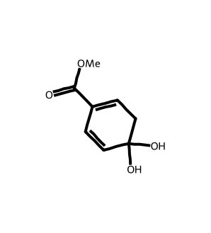 COC(=O)C1=CCC(O)(O)C=C1